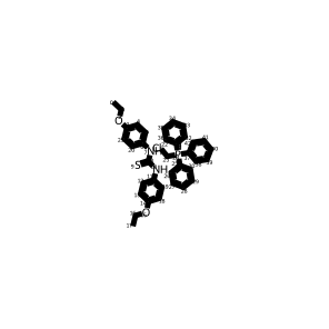 CCOc1ccc(NC(=S)Nc2ccc(OCC)cc2)cc1.ClC[PH](c1ccccc1)(c1ccccc1)c1ccccc1